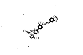 N/C(=N\O)N1CC[C@H](O)[C@H]1C1C=NC(c2ccc(OCCCc3ccc4c(c3)OCCO4)c(C(F)(F)F)c2)=NO1